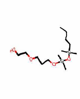 CCCC[Si](C)(C)O[Si](C)(C)OCCCOCCO